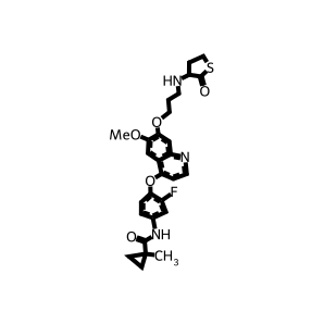 COc1cc2c(Oc3ccc(NC(=O)C4(C)CC4)cc3F)ccnc2cc1OCCCNC1CCSC1=O